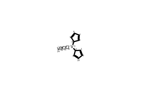 C1=C[CH]([V][CH]2C=CC=C2)C=C1.[Cl-].[Cl-].[Cl-].[V+2]